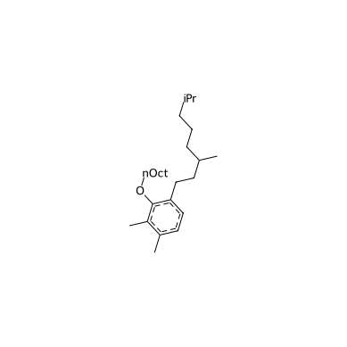 CCCCCCCCOc1c(CCC(C)CCCC(C)C)ccc(C)c1C